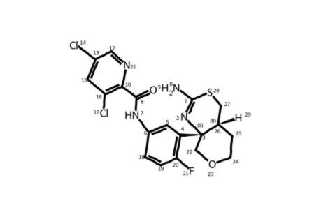 NC1=N[C@@]2(c3cc(NC(=O)c4ncc(Cl)cc4Cl)ccc3F)COCC[C@H]2CS1